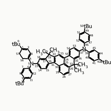 CC(C)(C)C1=CC=C(N(c2ccc(C(C)(C)C)cc2)c2ccc3c(c2)C(C)(C)c2cc4c5c(cccc5c2-3)C(C)(C)c2cc(N(c3ccc(C(C)(C)C)cc3)c3ccc(C(C)(C)C)cc3)ccc2-4)CC1